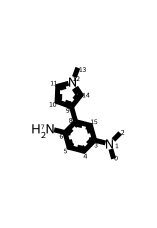 CN(C)c1ccc(N)c(-c2ccn(C)c2)c1